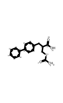 CC(=O)SCC(Cc1ccc(-c2ccccc2)cc1)C(=O)O